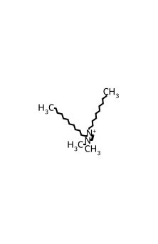 CCCCCCCCCCCc1n(C(C)C)cc[n+]1CCCCCCCCCCC